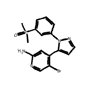 CP(C)(=O)c1cccc(-n2nccc2-c2cc(N)ncc2Br)c1